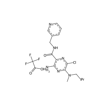 CC(C)CN(C)c1nc(N)c(C(=O)NCc2cccnc2)nc1Cl.O=C(O)C(F)(F)F